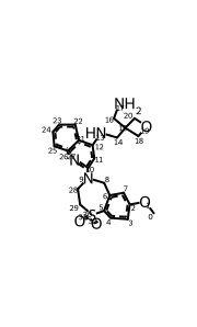 COc1ccc2c(c1)CN(c1cc(NCC3(CN)COC3)c3ccccc3n1)CCS2(=O)=O